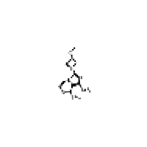 Bc1nc(N2CC(OC)C2)n2ccnc(N)c12